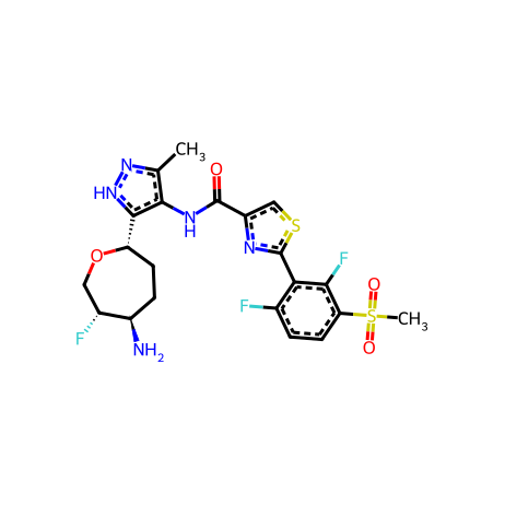 Cc1n[nH]c([C@@H]2CC[C@@H](N)[C@H](F)CO2)c1NC(=O)c1csc(-c2c(F)ccc(S(C)(=O)=O)c2F)n1